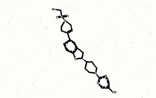 CCCc1cnc(N2CCC([C@@H]3Cc4cc(C5=CCN(S(=O)(=O)CC(C)C)CC5)ccc4O3)CC2)nc1